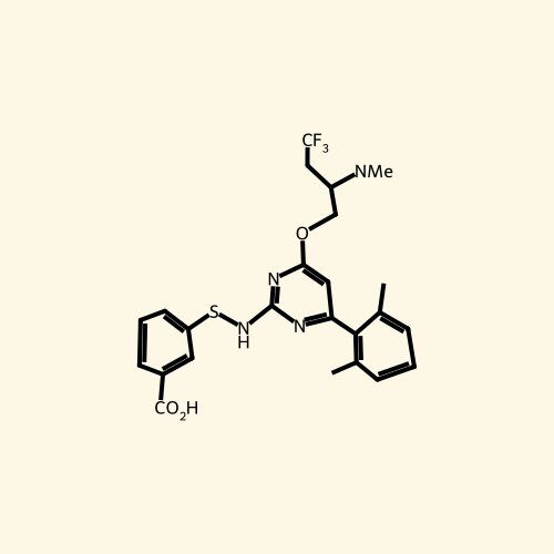 CNC(COc1cc(-c2c(C)cccc2C)nc(NSc2cccc(C(=O)O)c2)n1)CC(F)(F)F